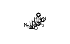 C=C(/C=C\C(=C/C)c1ccncc1Nc1ccccc1)C(=O)N[C@]12CC1CN(C#N)C2